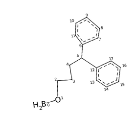 BOCCCC(c1ccccc1)c1ccccc1